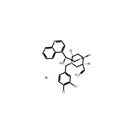 C=C[C@H]1C[N+]2(Cc3ccc(Cl)c(Cl)c3)CC[C@H]1C[C@@H]2[C@@H](O)c1ccnc2ccccc12.[Br-]